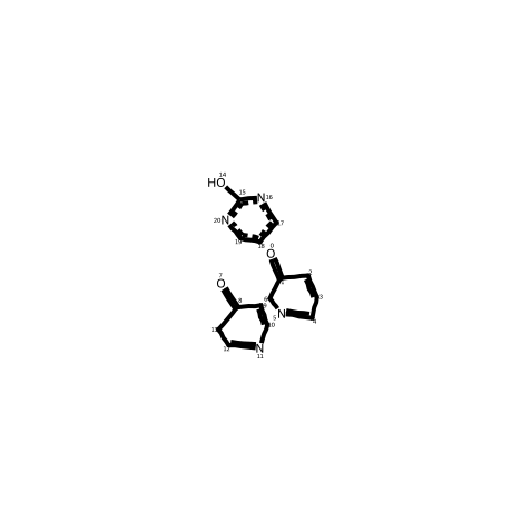 O=C1C=CC=NC1.O=C1C=CN=CC1.Oc1ncccn1